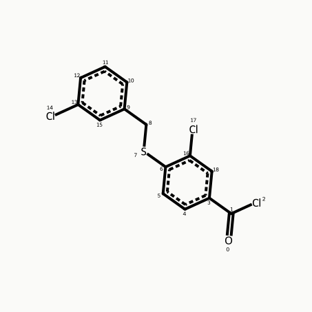 O=C(Cl)c1ccc(SCc2cccc(Cl)c2)c(Cl)c1